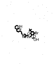 CC(C)(C)c1cc(Br)cc([C@H](CC(=O)O)NC(=O)c2cnn(CCc3ccc4c(n3)NCCC4)c2)c1